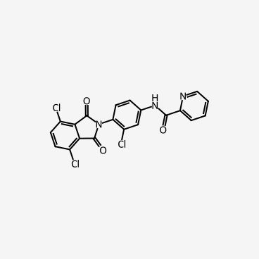 O=C(Nc1ccc(N2C(=O)c3c(Cl)ccc(Cl)c3C2=O)c(Cl)c1)c1ccccn1